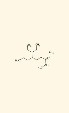 C/C=C(\CCC(CCC)C(CC)CC)NC